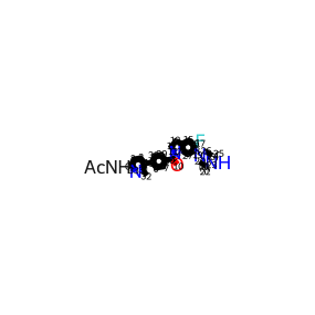 CC(=O)Nc1ccc(-c2ccc(C(=O)N3CCc4cc(F)c(N5C[C@@H](C)N[C@@H](C)C5)cc43)cc2)c(C)n1